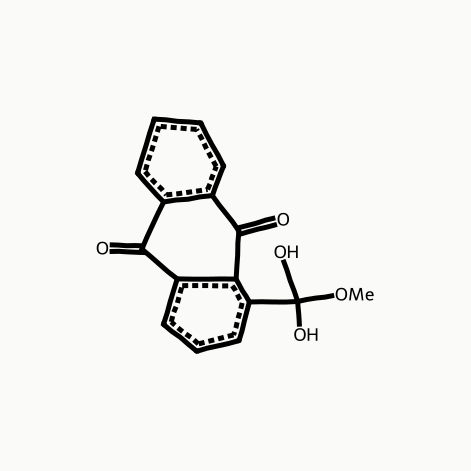 COC(O)(O)c1cccc2c1C(=O)c1ccccc1C2=O